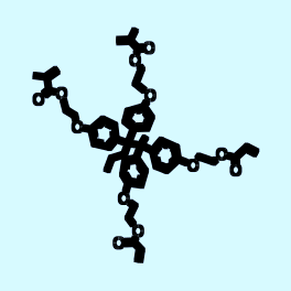 C=CC(=O)OCCOc1ccc(C(C)(c2ccc(OCCOC(=O)C=C)cc2)C(CCC)(c2ccc(OCCOC(=O)C(=C)C)cc2)c2ccc(OCCOC(=O)C(=C)C)cc2)cc1